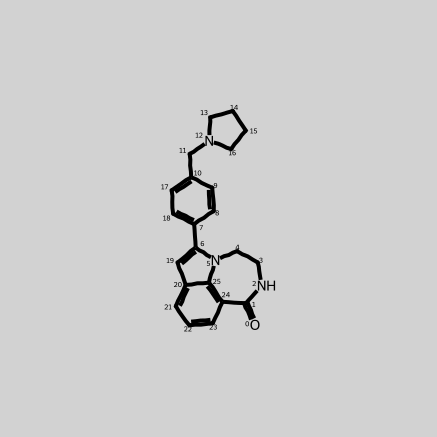 O=C1NCCn2c(-c3ccc(CN4CCCC4)cc3)cc3cccc1c32